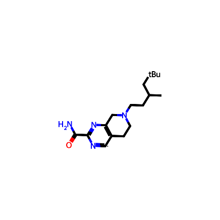 CC(CCN1CCc2[c]nc(C(N)=O)nc2C1)CC(C)(C)C